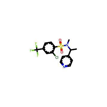 CC(c1ccncc1)N(C)S(=O)(=O)c1ccc(C(F)(F)F)cc1Cl